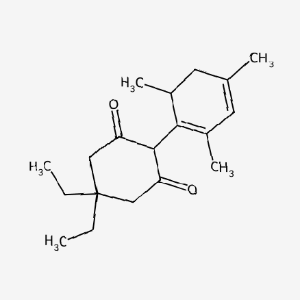 CCC1(CC)CC(=O)C(C2=C(C)C=C(C)CC2C)C(=O)C1